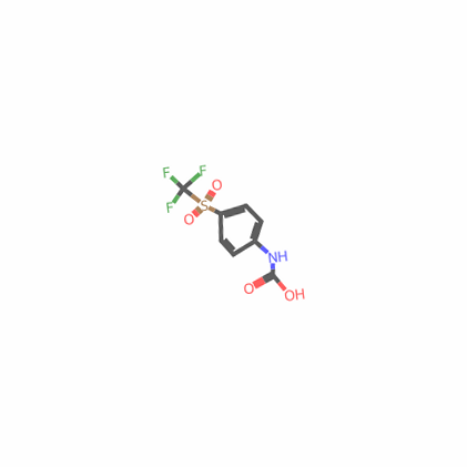 O=C(O)Nc1ccc(S(=O)(=O)C(F)(F)F)cc1